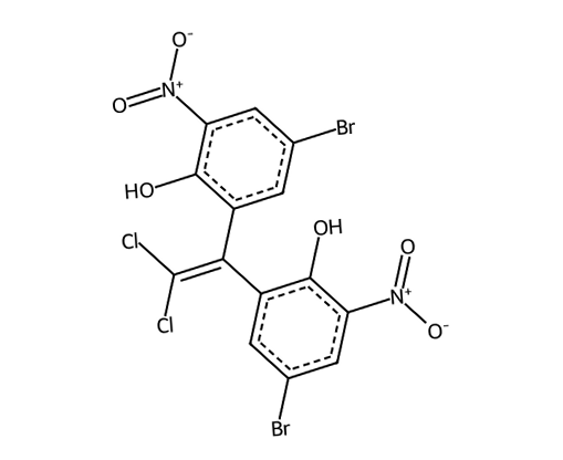 O=[N+]([O-])c1cc(Br)cc(C(=C(Cl)Cl)c2cc(Br)cc([N+](=O)[O-])c2O)c1O